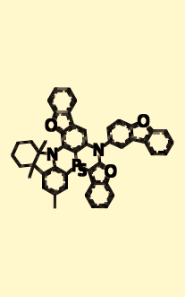 Cc1cc2c3c(c1)P1(=S)c4c(cc5c(oc6ccccc65)c4N3C3(C)CCCCC23C)N(c2ccc3oc4ccccc4c3c2)c2oc3ccccc3c21